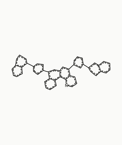 c1cc(-c2ccc3ccccc3c2)cc(-c2cc3cc(-c4ccc(-c5cccc6ccccc56)cc4)c4ccccc4c3c3ncccc23)c1